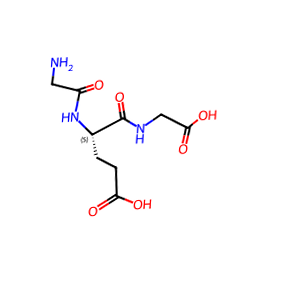 NCC(=O)N[C@@H](CCC(=O)O)C(=O)NCC(=O)O